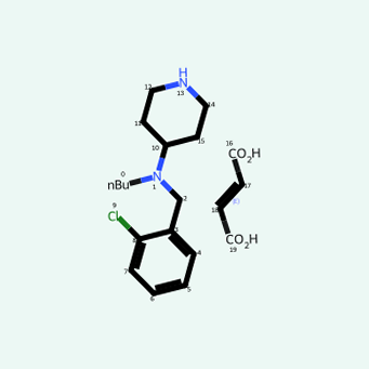 CCCCN(Cc1ccccc1Cl)C1CCNCC1.O=C(O)/C=C/C(=O)O